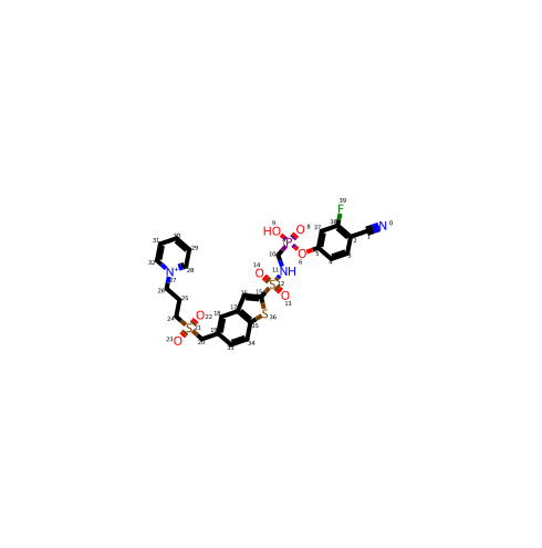 N#Cc1ccc(OP(=O)(O)CNS(=O)(=O)c2cc3cc(CS(=O)(=O)CCC[n+]4ccccc4)ccc3s2)cc1F